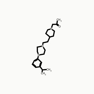 CC(=O)CN1CCC(CCN2CCN(c3cccc(C(C)C)c3)CC2)CC1